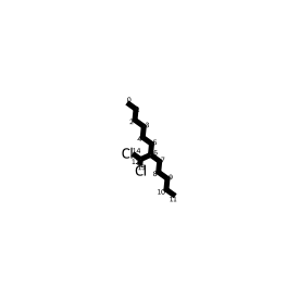 CCCCCCC(CCCCC)C(Cl)Cl